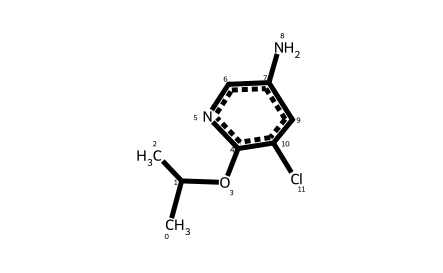 CC(C)Oc1ncc(N)cc1Cl